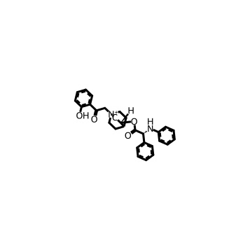 O=C(C[N+]12CCC(CC1)[C@@H](OC(=O)[C@H](Nc1ccccc1)c1ccccc1)C2)c1ccccc1O